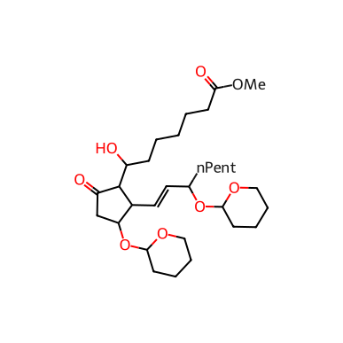 CCCCCC(C=CC1C(OC2CCCCO2)CC(=O)C1C(O)CCCCCC(=O)OC)OC1CCCCO1